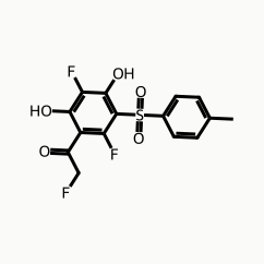 Cc1ccc(S(=O)(=O)c2c(O)c(F)c(O)c(C(=O)CF)c2F)cc1